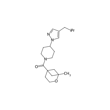 CC(C)Cc1cnn(C2CCN(C(=O)C34CCOC(C)(C3)C4)CC2)c1